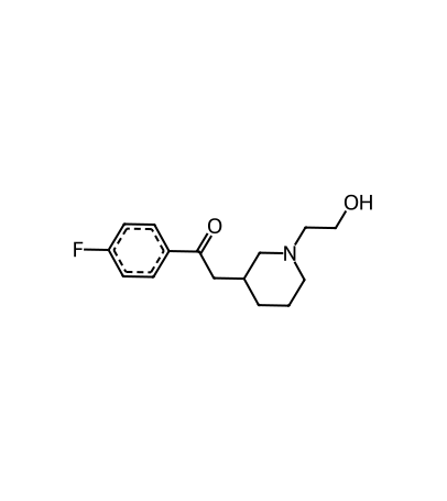 O=C(CC1CCCN(CCO)C1)c1ccc(F)cc1